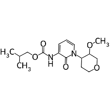 COC1COCCC1n1cccc(NC(=O)OCC(C)C)c1=O